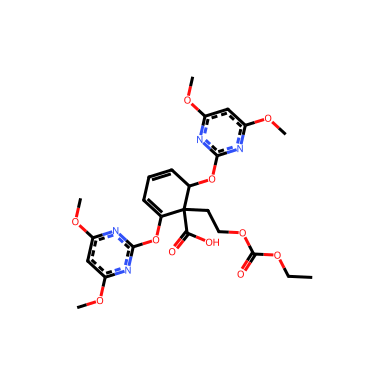 CCOC(=O)OCCC1(C(=O)O)C(Oc2nc(OC)cc(OC)n2)=CC=CC1Oc1nc(OC)cc(OC)n1